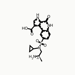 C[C@@H](N)CN(C1CC1)S(=O)(=O)c1ccc2[nH]c(=O)c3[nH]cc(C(=O)O)c3c2c1